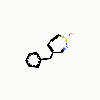 [O-][S+]1C=CC=C(Cc2ccccc2)C=N1